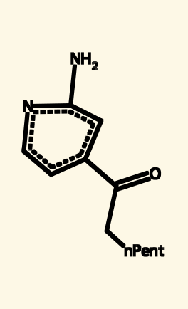 CCCCCCC(=O)c1ccnc(N)c1